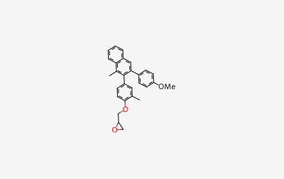 COc1ccc(-c2cc3ccccc3c(C)c2-c2ccc(OCC3CO3)c(C)c2)cc1